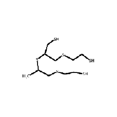 CC(CSCCS)SC(CS)CSCCS